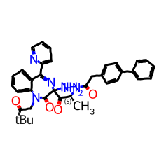 C[C@H](NC(=O)Cc1ccc(-c2ccccc2)cc1)C(=O)C1(N)N=C(c2ccccn2)c2ccccc2N(CC(=O)C(C)(C)C)C1=O